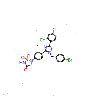 O=C1CN(c2ccc(-c3nc(-c4ccc(Cl)cc4Cl)cn3Cc3ccc(Br)cc3)cc2)S(=O)(=O)N1